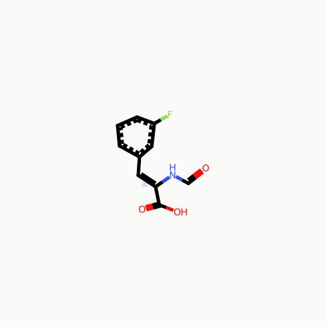 O=CN/C(=C\c1cccc(F)c1)C(=O)O